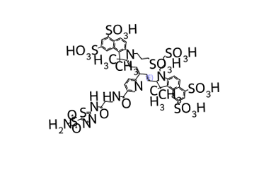 CC1(C)C(=CC=C(/C=C/C2N(CCCS(=O)(=O)O)c3ccc4c(S(=O)(=O)O)cc(S(=O)(=O)O)cc4c3C2(C)C)c2ccc(C(=O)NCCC(=O)Nc3nnc(S(N)(=O)=O)s3)cn2)N(CCCS(=O)(=O)O)c2ccc3c(S(=O)(=O)O)cc(S(=O)(=O)O)cc3c21